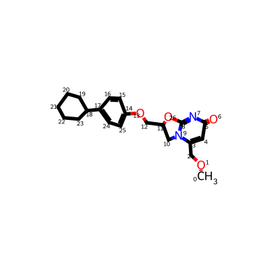 COCc1cc(=O)nc2n1CC(COc1ccc(C3CCCCC3)cc1)O2